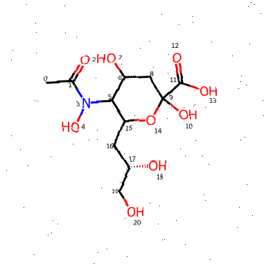 CC(=O)N(O)C1C(O)CC(O)(C(=O)O)OC1C[C@H](O)CO